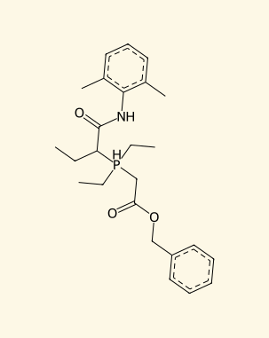 CCC(C(=O)Nc1c(C)cccc1C)[PH](CC)(CC)CC(=O)OCc1ccccc1